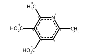 Cc1cc(C(=O)O)c(C(=O)O)c(C)n1